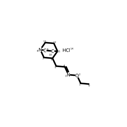 CCON=CCC1CN2CCC1CC2.Cl